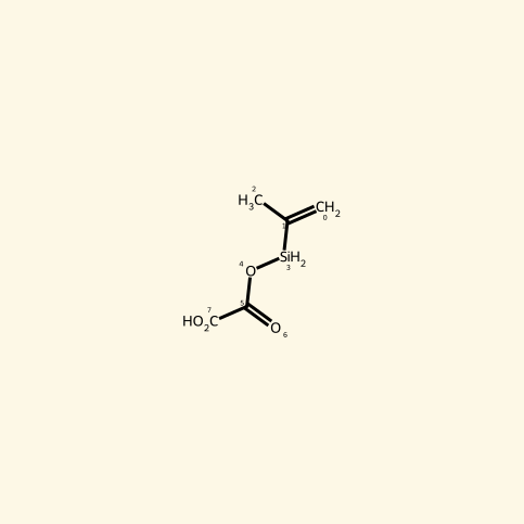 C=C(C)[SiH2]OC(=O)C(=O)O